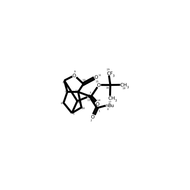 CCCCC(=O)OC1C2CC3C1OC(=O)C3(C(=O)OC(C)(C)C(F)(F)F)C2